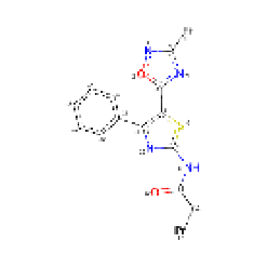 CCc1noc(-c2sc(NC(=O)CC(C)C)nc2-c2ccccc2)n1